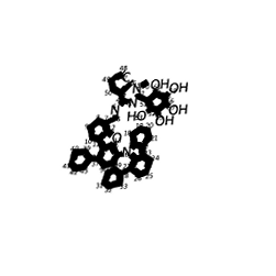 C=N/C(=N\C(=N/Cc1cccc2c1oc1c(-n3c4ccccc4c4cccc(-c5ccccc5)c43)ccc(-c3ccccc3)c12)c1ccccc1)c1c(O)c(O)c(O)c(O)c1O